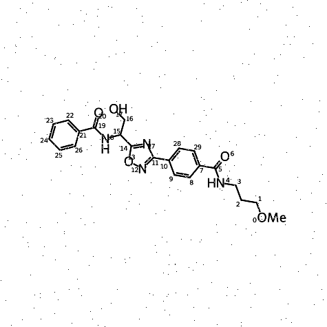 COCCCNC(=O)c1ccc(-c2noc(C(CO)NC(=O)c3ccccc3)n2)cc1